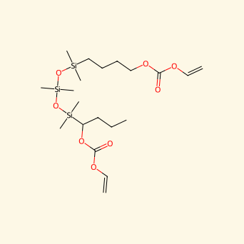 C=COC(=O)OCCCC[Si](C)(C)O[Si](C)(C)O[Si](C)(C)C(CCC)OC(=O)OC=C